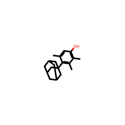 Cc1cc(O)c(C)c(C)c1C12CC3CC(CC(C3)C1)C2